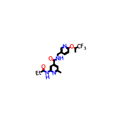 CCC(=O)Nc1cc(C(=O)NCc2ccc(OC(C)C(F)(F)F)nc2)cc(C)n1